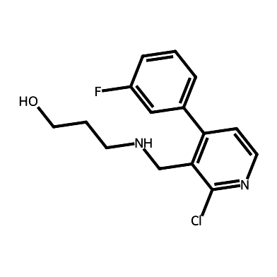 OCCCNCc1c(-c2cccc(F)c2)ccnc1Cl